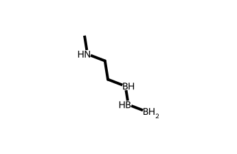 BBBCCNC